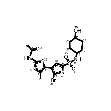 CC(=O)Nc1nc(C)c(-c2cc(S(=O)(=O)NC3CCC(O)CC3)sc2Br)s1